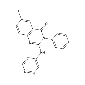 O=c1c2cc(F)ccc2nc(Nc2ccnnc2)n1-c1ccccc1